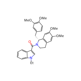 CCn1cc(C(=O)N2CCc3cc(OC)c(OC)cc3[C@H]2Cc2ccc(OC)c(OC)c2)c2ccccc21